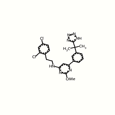 COc1nc(NCCc2ccc(Cl)cc2Cl)cc(-c2cccc(C(C)(C)c3nnn[nH]3)c2)n1